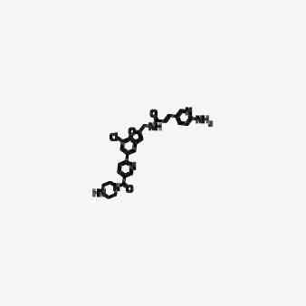 Nc1ccc(C=CC(=O)NCc2cc3cc(-c4ccc(C(=O)N5CCNCC5)cn4)cc(Cl)c3o2)cn1